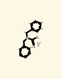 S=C([S-])N(Cc1ccccc1)Cc1ccccc1.[Li+]